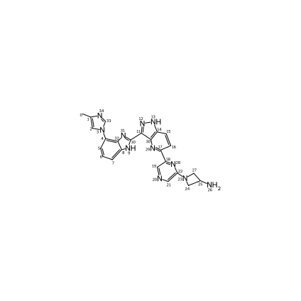 Cc1cn(-c2cccc3[nH]c(-c4n[nH]c5ccc(-c6cncc(N7CC(N)C7)n6)nc45)nc23)cn1